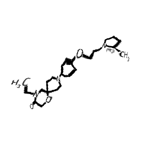 CCN1CC2(CCN(c3ccc(OCCCN4CCC[C@H]4C)cc3)CC2)OCC1=O